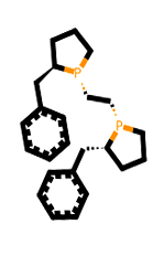 c1ccc(C[C@H]2CCC[P@]2CC[P@]2CCC[C@@H]2Cc2ccccc2)cc1